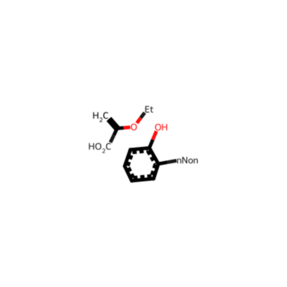 C=C(OCC)C(=O)O.CCCCCCCCCc1ccccc1O